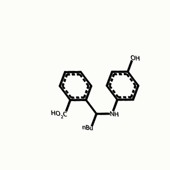 CCCCC(Nc1ccc(O)cc1)c1ccccc1C(=O)O